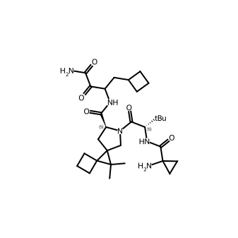 CC(C)(C)[C@H](NC(=O)C1(N)CC1)C(=O)N1CC2(C[C@H]1C(=O)NC(CC1CCC1)C(=O)C(N)=O)C(C)(C)C21CCC1